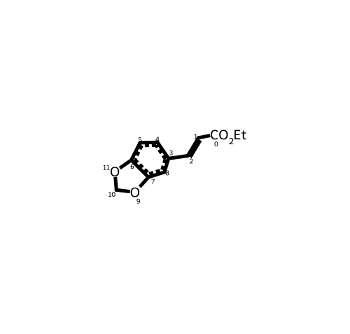 CCOC(=O)/C=C/c1ccc2c(c1)OCO2